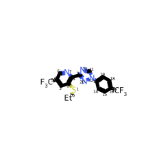 CCSc1cc(C(F)(F)F)cnc1-c1ncn(-c2ccc(C(F)(F)F)cc2)n1